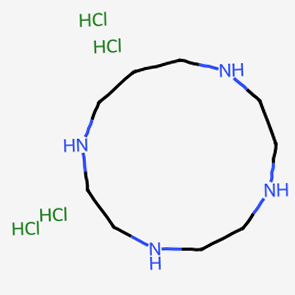 C1CNCCNCCNCCNC1.Cl.Cl.Cl.Cl